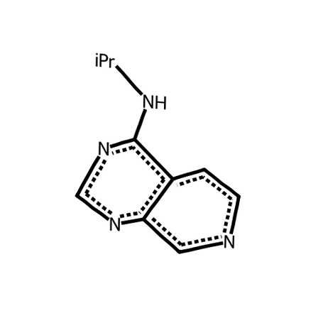 CC(C)Nc1ncnc2cnccc12